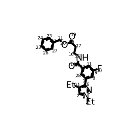 CCc1cn(CC)nc1-c1cc(F)cc(C(=O)NCCC(=O)OCc2ccccc2)c1